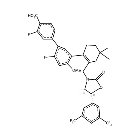 COc1cc(F)c(-c2ccc(C(=O)O)c(F)c2)cc1C1=C(CN2C(=O)O[C@H](c3cc(C(F)(F)F)cc(C(F)(F)F)c3)[C@@H]2C)CC(C)(C)CC1